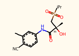 Cc1cc(NC(=O)[C@@](C)(O)CS(=O)(=O)C(C)C)ccc1C#N